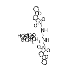 CS(=O)(=O)O.CS(=O)(=O)O.O=C1c2ccc3c(oc4ccccc43)c2C(=O)N1CCNCCCNCCN1C(=O)c2ccc3c(oc4ccccc43)c2C1=O